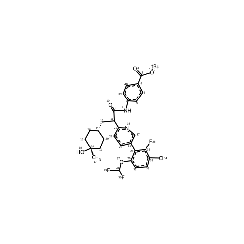 CC(C)(C)OC(=O)c1ccc(NC(=O)C(C[C@H]2CC[C@@](C)(O)CC2)c2ccc(-c3c(OC(F)F)ccc(Cl)c3F)cn2)cc1